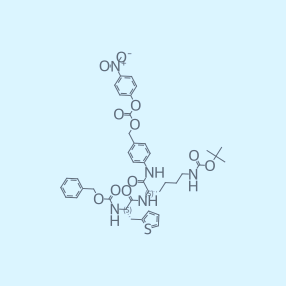 CC(C)(C)OC(=O)NCCCC[C@H](NC(=O)[C@H](Cc1cccs1)NC(=O)OCc1ccccc1)C(=O)Nc1ccc(COC(=O)Oc2ccc([N+](=O)[O-])cc2)cc1